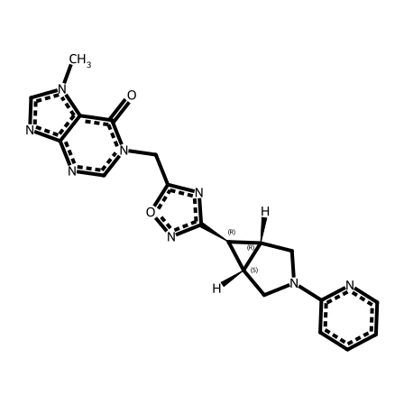 Cn1cnc2ncn(Cc3nc([C@H]4[C@@H]5CN(c6ccccn6)C[C@@H]54)no3)c(=O)c21